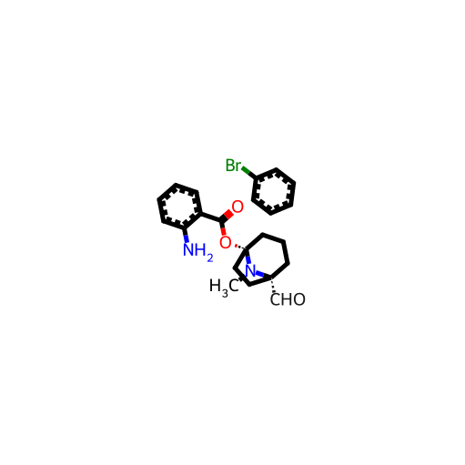 Brc1ccccc1.CN1[C@@]2(C=O)CCC[C@]1(OC(=O)c1ccccc1N)CC2